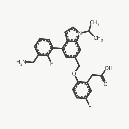 CC(C)n1ccc2c(-c3cccc(CN)c3F)cc(COc3ccc(F)cc3CC(=O)O)cc21